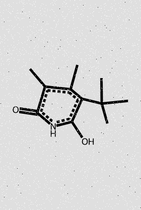 Cc1c(C(C)(C)C)c(O)[nH]c(=O)c1C